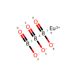 O=B[O-].O=B[O-].O=B[O-].[Eu+3]